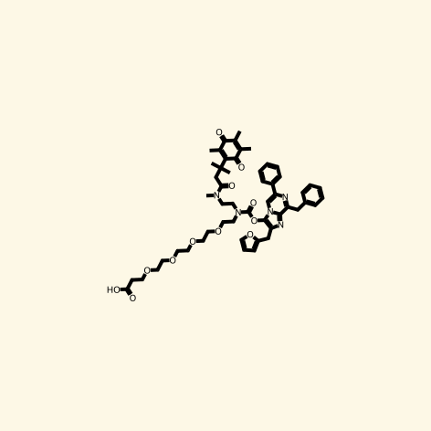 CC1=C(C)C(=O)C(C(C)(C)CC(=O)N(C)CCN(CCOCCOCCOCCOCCC(=O)O)C(=O)Oc2c(Cc3ccco3)nc3c(Cc4ccccc4)nc(-c4ccccc4)cn23)=C(C)C1=O